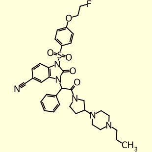 CCCN1CCN(C2CCN(C(=O)C(c3ccccc3)n3c(=O)n(S(=O)(=O)c4ccc(OCCF)cc4)c4ccc(C#N)cc43)C2)CC1